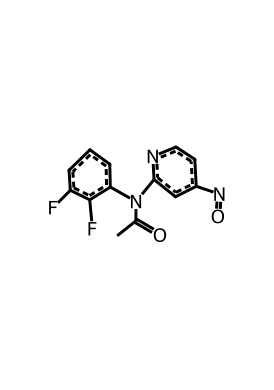 CC(=O)N(c1cc(N=O)ccn1)c1cccc(F)c1F